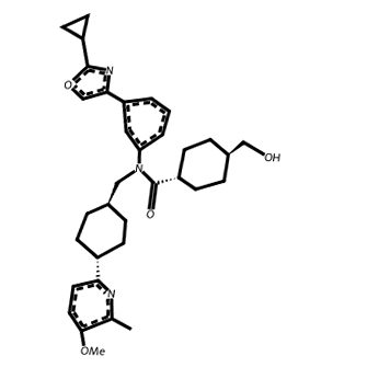 COc1ccc([C@H]2CC[C@H](CN(c3cccc(-c4coc(C5CC5)n4)c3)C(=O)[C@H]3CC[C@H](CO)CC3)CC2)nc1C